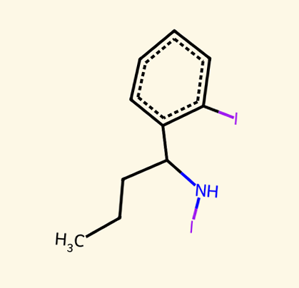 CCCC(NI)c1ccccc1I